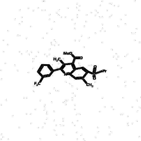 COC(=O)c1c(C)c(-c2cccc(C(F)(F)F)c2)nc2cc(C)c(S(=O)(=O)C(C)C)cc12